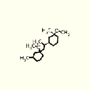 COC1(CC(C)[C@@H]2CCC[C@@](C)(OC)C2)CCCC(C)C1